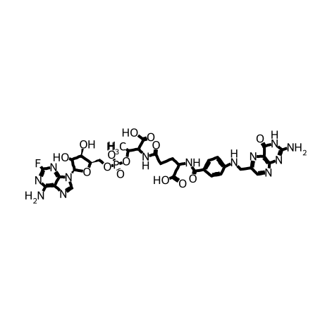 CC(OP(=O)(O)OC[C@H]1O[C@@H](n2cnc3c(N)nc(F)nc32)C(O)[C@H]1O)C(NC(=O)CCC(NC(=O)c1ccc(NCc2cnc3nc(N)[nH]c(=O)c3n2)cc1)C(=O)O)C(=O)O